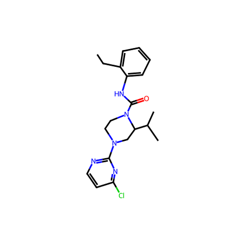 CCc1ccccc1NC(=O)N1CCN(c2nccc(Cl)n2)CC1C(C)C